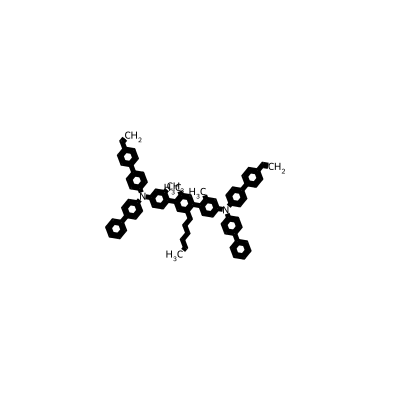 C=Cc1ccc(-c2ccc(N(c3ccc(-c4ccccc4)cc3)c3ccc(-c4cc(CCCCCC)c(-c5ccc(N(c6ccc(-c7ccccc7)cc6)c6ccc(-c7ccc(C=C)cc7)cc6)cc5C)cc4C)c(C)c3)cc2)cc1